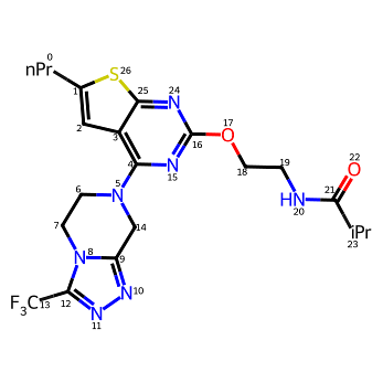 CCCc1cc2c(N3CCn4c(nnc4C(F)(F)F)C3)nc(OCCNC(=O)C(C)C)nc2s1